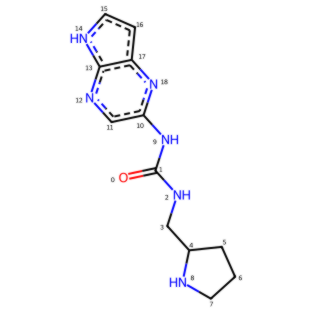 O=C(NCC1CCCN1)Nc1cnc2[nH]ccc2n1